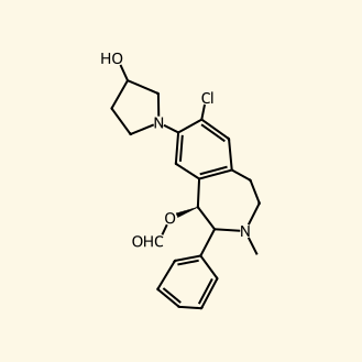 CN1CCc2cc(Cl)c(N3CCC(O)C3)cc2[C@H](OC=O)C1c1ccccc1